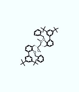 CO[C@H](Cc1cccc(-c2cc(C(C)(C)C)cc(C(C)(C)C)c2)c1OCc1ccccc1)[C@@H](Cc1cccc(-c2cc(C(C)(C)C)cc(C(C)(C)C)c2)c1OCc1ccccc1)OC